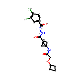 O=C(COC1CCC1)NC12CC(C(=O)NNC(=O)c3ccc(Cl)c(F)c3)(C1)C2